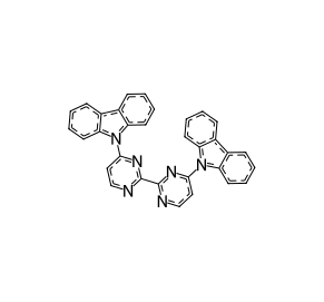 c1ccc2c(c1)c1ccccc1n2-c1ccnc(-c2nccc(-n3c4ccccc4c4ccccc43)n2)n1